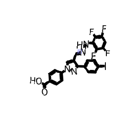 O=C(O)c1ccc(-n2cc(/C=N/Nc3c(F)c(F)cc(F)c3F)c(-c3ccc(I)cc3)n2)cc1